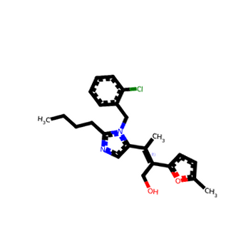 CCCCc1ncc(/C(C)=C(\CO)c2ccc(C)o2)n1Cc1ccccc1Cl